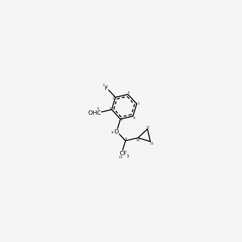 O=Cc1c(F)cccc1OC(C1CC1)C(F)(F)F